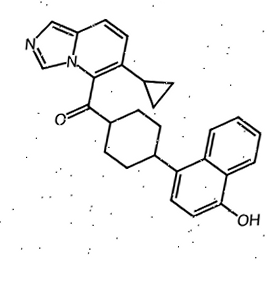 O=C(c1c(C2CC2)ccc2cncn12)C1CCC(c2ccc(O)c3ccccc23)CC1